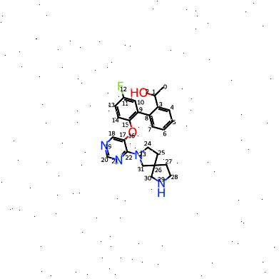 CC(O)c1ccccc1-c1cc(F)ccc1Oc1cncnc1N1CCC2(CCNC2)C1